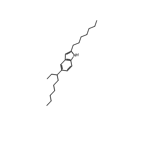 CCCCCCCc1cc2cc(C(CC)CCCCCC)ccc2[nH]1